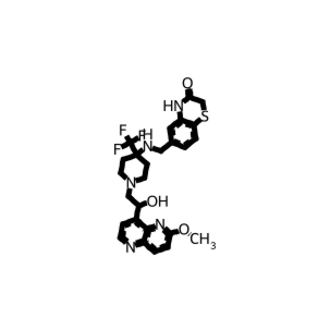 COc1ccc2nccc(C(O)CN3CCC(NCc4ccc5c(c4)NC(=O)CS5)(C(F)(F)F)CC3)c2n1